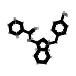 Cc1ccc(Cn2cc(NC(=O)c3cnccn3)c3ccccc32)cc1